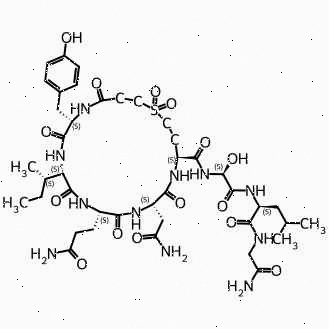 CC[C@H](C)[C@@H]1NC(=O)[C@H](Cc2ccc(O)cc2)NC(=O)CCS(=O)(=O)CC[C@@H](C(=O)N[C@@H](O)C(=O)N[C@@H](CC(C)C)C(=O)NCC(N)=O)NC(=O)[C@H](CC(N)=O)NC(=O)[C@H](CCC(N)=O)NC1=O